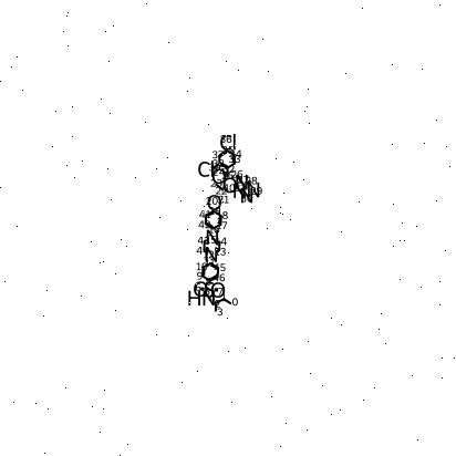 CCC(C)NS(=O)(=O)c1ccc(N2CCN(c3ccc(OC[C@@H]4CO[C@@](Cn5cnnn5)(c5ccc(Cl)cc5Cl)O4)cc3)CC2)cc1